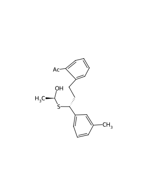 CC(=O)c1ccccc1CC[C@@H](S[C@@H](C)O)c1cccc(C)c1